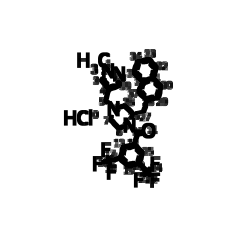 Cl.Cn1cc(CN2CCN(C(=O)c3cc(C(F)(F)F)cc(C(F)(F)F)c3)[C@H](Cc3ccc4ccccc4c3)C2)cn1